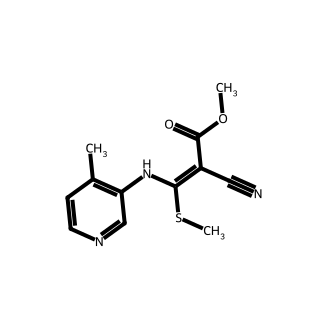 COC(=O)C(C#N)=C(Nc1cnccc1C)SC